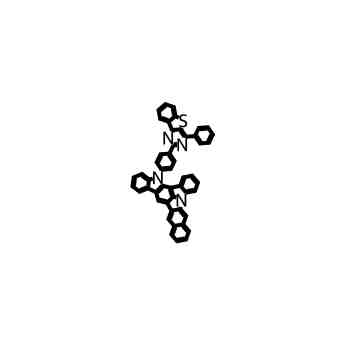 c1ccc(-c2nc(-c3ccc(-n4c5ccccc5c5cc6c7cc8ccccc8cc7n7c8ccccc8c(c54)c67)cc3)nc3c2sc2ccccc23)cc1